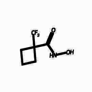 O=C(NO)C1(C(F)(F)F)CCC1